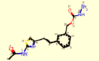 CC(=O)Nc1nc(CCc2cccc(COC(=O)NN)c2)cs1